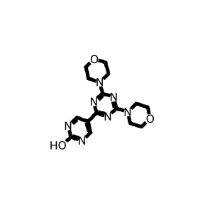 Oc1ncc(-c2nc(N3CCOCC3)nc(N3CCOCC3)n2)cn1